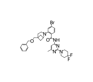 Cc1cc(NC(=O)c2ccc(Br)cc2N2CCC3(COCc4ccccc4)CC2C3)nc(N2CCC(F)(F)CC2)n1